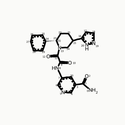 NC(=O)c1cncc(NC(=O)C(=O)N2CC(c3ccn[nH]3)CC[C@H]2c2ccccc2)c1